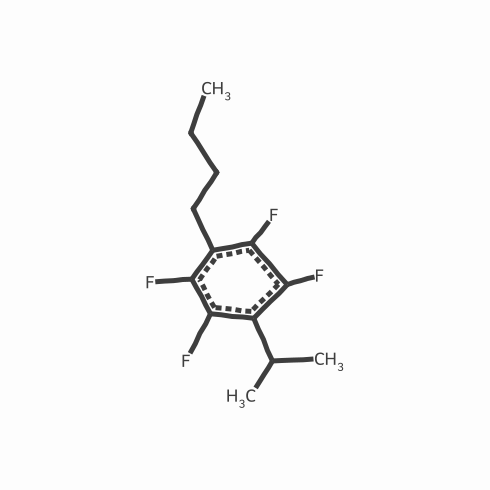 CCCCc1c(F)c(F)c(C(C)C)c(F)c1F